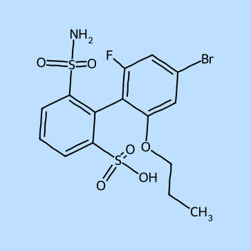 CCCOc1cc(Br)cc(F)c1-c1c(S(N)(=O)=O)cccc1S(=O)(=O)O